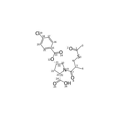 CC(=O)SCC(C)C(=O)N1C[C@@H](OC(=O)c2ccc(Cl)cc2)C[C@H]1C(=O)O